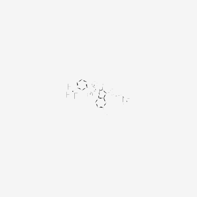 CSc1ccc2c(c1)c(SCCN(C)C)c(C)n2S(=O)(=O)c1cccc(C(F)(F)F)c1